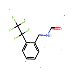 O=CNCc1ccccc1C(F)(F)C(F)(F)F